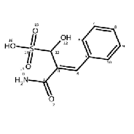 NC(=O)C(=Cc1ccccc1)C(O)S(=O)(=O)O